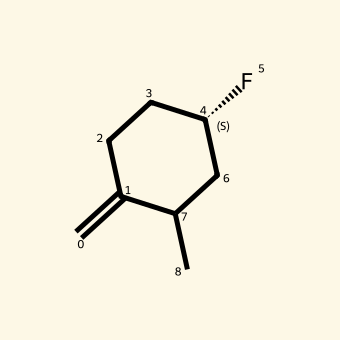 C=C1CC[C@H](F)CC1C